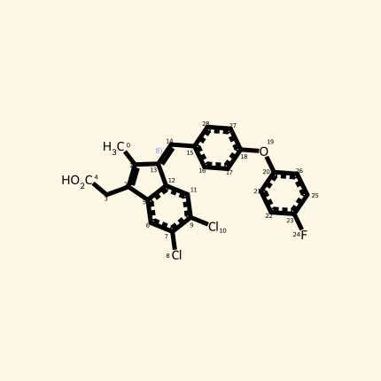 CC1=C(CC(=O)O)c2cc(Cl)c(Cl)cc2/C1=C\c1ccc(Oc2ccc(F)cc2)cc1